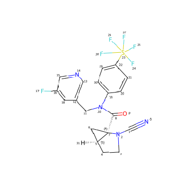 N#CN1CC[C@H]2C[C@]21C(=O)N(Cc1cncc(F)c1)c1ccc(S(F)(F)(F)(F)F)cc1